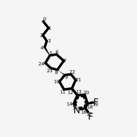 CCCCC[C@H]1CC[C@H](C2CCC(c3cnc(F)c(F)c3)CC2)CC1